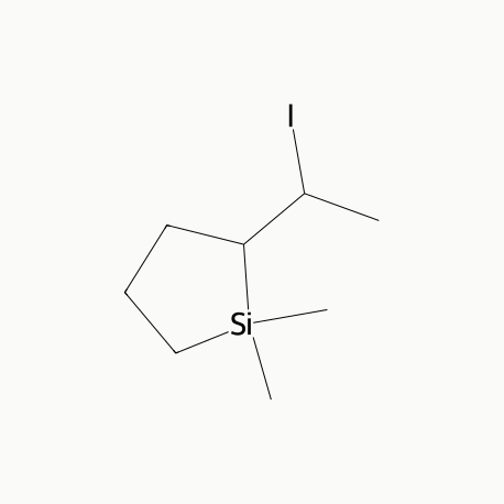 CC(I)C1CCC[Si]1(C)C